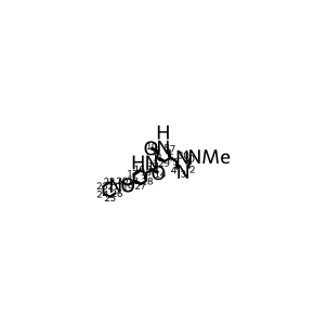 CNc1cncc(-c2c[nH]c(=O)c(NC(=O)c3ccc(OCN4CCCCC4)cc3)c2)n1